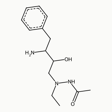 CCN(CC(O)C(N)Cc1ccccc1)NC(C)=O